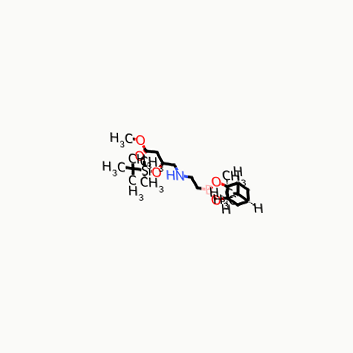 COC(=O)CC(CNCCB1O[C@@H]2C[C@@H]3C[C@@H](C3(C)C)[C@]2(C)O1)O[Si](C)(C)C(C)(C)C